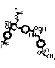 CCS(=O)(=O)c1ccc([C@H](CO)NC(=O)c2ccc(N3CC(OC)(c4ccc(C(F)(F)F)cc4)C[C@H]3COC(F)F)cc2)cc1